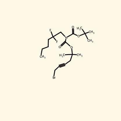 CCCCC(F)(F)CN(C(=O)OC(C)(C)C)C(=O)OC(C)(C)CC#CCBr